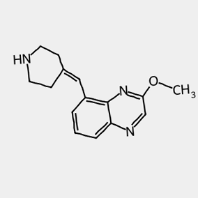 COc1cnc2cccc(C=C3CCNCC3)c2n1